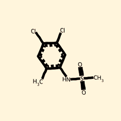 Cc1cc(Cl)c(Cl)cc1NS(C)(=O)=O